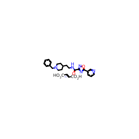 O=C(NCCC1CCN(Cc2ccccc2)CC1)c1noc(-c2cccnc2)n1.O=C(O)/C=C/C(=O)O